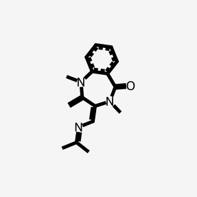 C=C1/C(=C\N=C(C)C)N(C)C(=O)c2ccccc2N1C